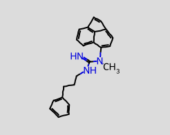 CN(C(=N)NCCCc1ccccc1)c1ccc2c3c(cccc13)C=C2